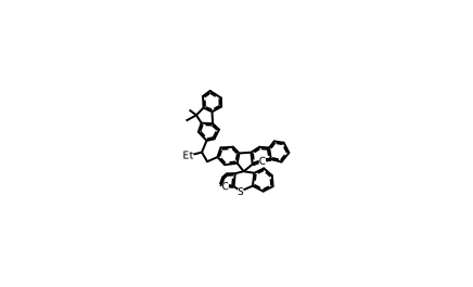 CCC(Cc1ccc2c(c1)C1(c3ccccc3Sc3ccccc31)c1cc3ccccc3cc1-2)c1ccc2c(c1)C(C)(C)c1ccccc1-2